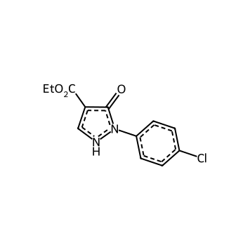 CCOC(=O)c1c[nH]n(-c2ccc(Cl)cc2)c1=O